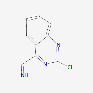 N=Cc1nc(Cl)nc2ccccc12